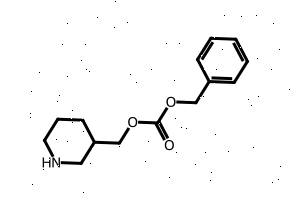 O=C(OCc1ccccc1)OCC1CCCNC1